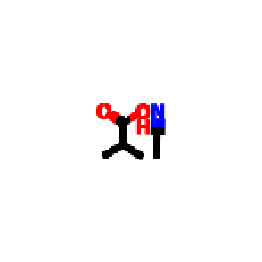 CC#N.CC(C)C(=O)O